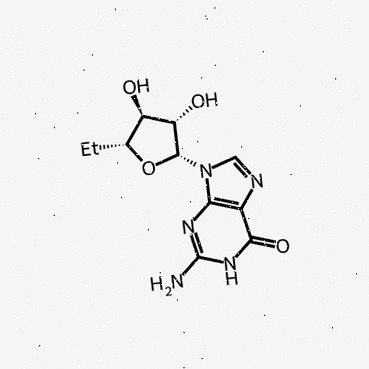 CC[C@H]1O[C@@H](n2cnc3c(=O)[nH]c(N)nc32)[C@@H](O)[C@@H]1O